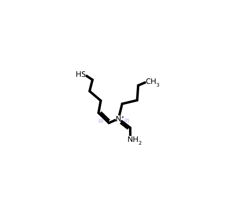 CCCC[N+](/C=C\CCCS)=C/N